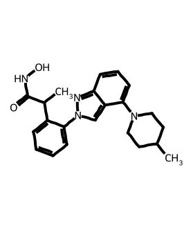 CC1CCN(c2cccc3nn(-c4ccccc4C(C)C(=O)NO)cc23)CC1